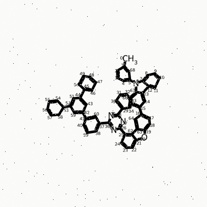 Cc1cccc(-n2c3ccccc3c3cc(-c4ccc5oc6cccc(-c7nc(-c8ccccc8)nc(-c8cccc(-c9cc(-c%10ccccc%10)cc(C%10C=CC=CC%10)c9)c8)n7)c6c5c4)ccc32)c1